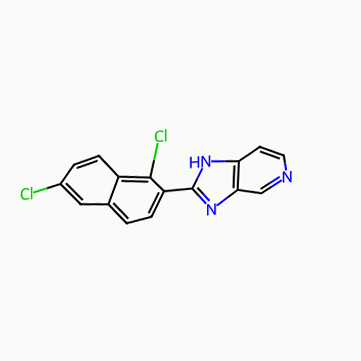 Clc1ccc2c(Cl)c(-c3nc4cnccc4[nH]3)ccc2c1